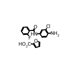 Nc1ccc(NC(=O)c2ccccc2F)cc1Cl.O=C(O)c1ccco1